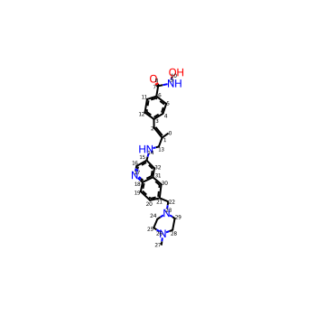 CC(=Cc1ccc(C(=O)NO)cc1)CNc1cnc2ccc(CN3CCN(C)CC3)cc2c1